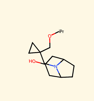 CC(C)OCC1(CN2C3CCC2CC(O)C3)CC1